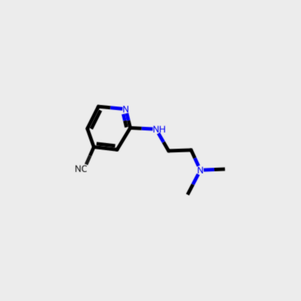 CN(C)CCNc1cc(C#N)ccn1